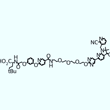 CC(C)(C)CC[C@H](NC(=O)COc1cccc(Oc2ccc(C(=O)NCCOCCOCCOCCOc3ncc(-c4ccc5c(n4)N(Cc4cccnc4C#N)C(C)(C)C5=O)cn3)cn2)c1)C(=O)O